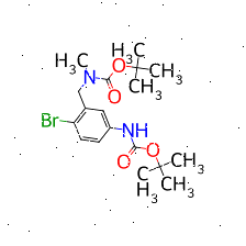 CN(Cc1cc(NC(=O)OC(C)(C)C)ccc1Br)C(=O)OC(C)(C)C